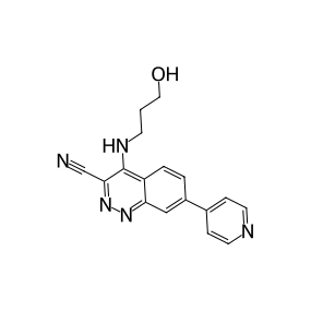 N#Cc1nnc2cc(-c3ccncc3)ccc2c1NCCCO